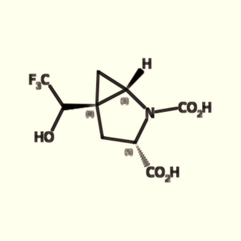 O=C(O)[C@@H]1C[C@]2(C(O)C(F)(F)F)C[C@@H]2N1C(=O)O